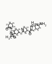 Cc1nc(N)ccc1CNC(=O)c1ccnc(Cc2ccc(Cn3ccccc3=O)c(S(C)(=O)=O)c2)c1